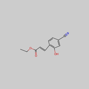 CCOC(=O)C=Cc1ccc(C#N)cc1O